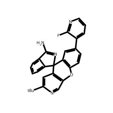 CC(C)(C)c1cc2c(cn1)Oc1ccc(-c3cccnc3F)cc1C21N=C(N)c2ccccc21